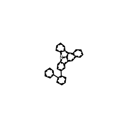 c1ccc(-c2ccccc2-c2ccc3c(c2)c2cc4ccccc4c4c5ccccc5n3c24)cc1